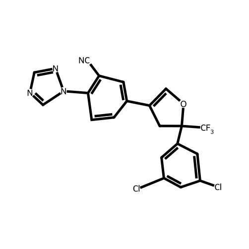 N#Cc1cc(C2=COC(c3cc(Cl)cc(Cl)c3)(C(F)(F)F)C2)ccc1-n1cncn1